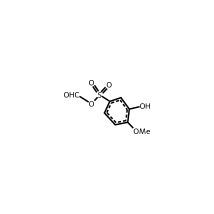 COc1ccc(S(=O)(=O)OC=O)cc1O